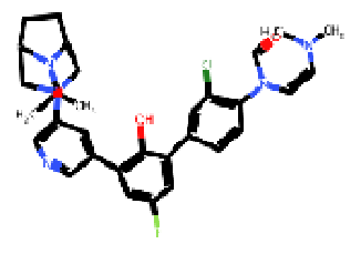 CC(C)N1C2CCC1CN(c1cncc(-c3cc(F)cc(-c4ccc(N(C=O)/C=C\N(C)C)c(Cl)c4)c3O)c1)C2